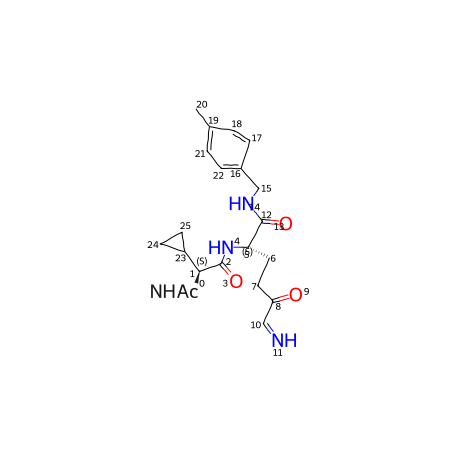 CC(=O)N[C@H](C(=O)N[C@@H](CCC(=O)C=N)C(=O)NCc1ccc(C)cc1)C1CC1